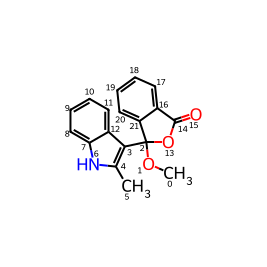 COC1(c2c(C)[nH]c3ccccc23)OC(=O)c2ccccc21